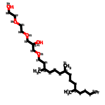 CC(C)CCCC(C)CCCC(C)CCCC(C)CCOCC(O)COCCOCCO